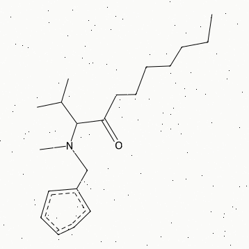 CCCCCCCC(=O)C(C(C)C)N(C)Cc1ccccc1